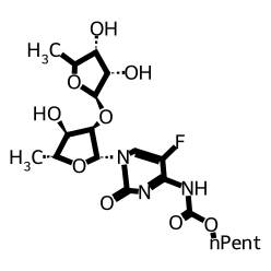 CCCCCOC(=O)Nc1nc(=O)n([C@@H]2O[C@H](C)[C@@H](O)[C@H]2O[C@H]2OC(C)[C@H](O)[C@@H]2O)cc1F